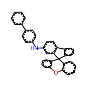 c1ccc(-c2ccc(Nc3ccc4c(c3)C3(c5ccccc5Oc5ccccc53)c3ccccc3-4)cc2)cc1